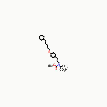 CC(C(=O)O)N(CCCc1ccc(OCCCCCc2ccccc2)cc1)C(=O)OC(C)(C)C